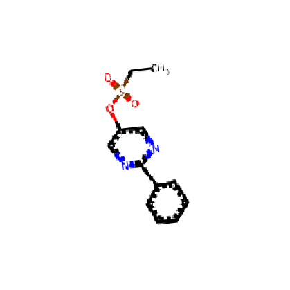 CCS(=O)(=O)Oc1cnc(-c2ccccc2)nc1